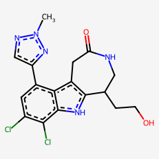 Cn1ncc(-c2cc(Cl)c(Cl)c3[nH]c4c(c23)CC(=O)NCC4CCO)n1